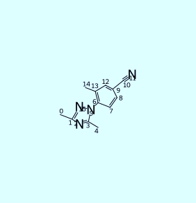 Cc1nc(C)n(-c2ccc(C#N)cc2C)n1